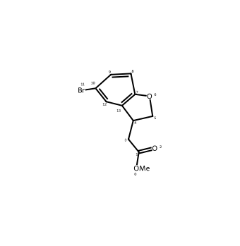 COC(=O)CC1COc2ccc(Br)cc21